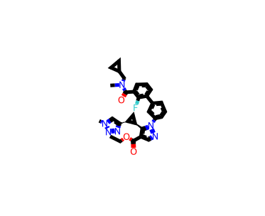 CCOC(=O)c1cnn(-c2cccc(-c3cccc(C(=O)N(C)CC4CC4)c3F)c2)c1[C@@H]1C[C@H]1c1cn(C)nn1